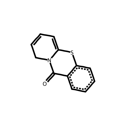 O=C1c2ccccc2SC2=CC=CCN12